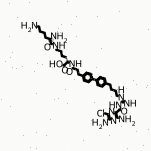 N=C(NCCCCc1ccc(-c2ccc(CCC(=O)N[C@@H](CCCCNC(=O)[C@@H](N)CCCCN)C(=O)O)cc2)cc1)NC(=O)c1nc(Cl)c(N)nc1N